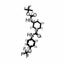 CC(C)(C)OC(=O)NC1CCCN(C(=O)Nc2ccc(OC(F)(F)F)cc2)C1